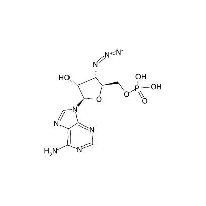 [N-]=[N+]=N[C@H]1[C@@H](O)[C@H](n2cnc3c(N)ncnc32)O[C@@H]1COP(=O)(O)O